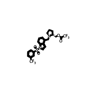 O=C(OC[C@H]1CCCN1Cc1cccc2c1ccn2S(=O)(=O)c1cccc(C(F)(F)F)c1)C(F)(F)F